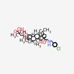 CC(C)C1=C2[C@H]3CC[C@@H]4[C@@]5(C)CC[C@H](OC(=O)CC(C)(C)C(=O)O)C(C)(C)C5CC[C@@]4(C)[C@]3(C)CC[C@@]2([C@H](O)CNCc2ccc(Cl)cc2)CC1